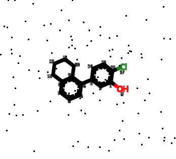 Oc1cc(-c2cccc3c2C[CH]CC3)ccc1Cl